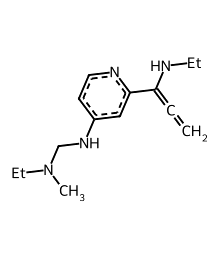 C=C=C(NCC)c1cc(NCN(C)CC)ccn1